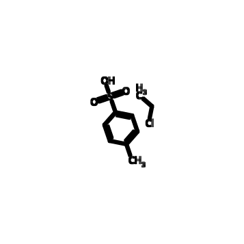 CCCl.Cc1ccc(S(=O)(=O)O)cc1